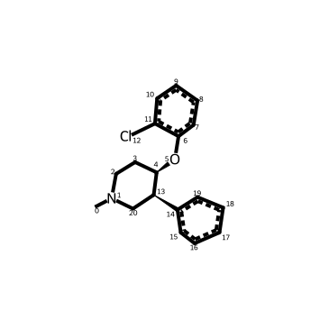 CN1CC[C@@H](Oc2ccccc2Cl)[C@@H](c2ccccc2)C1